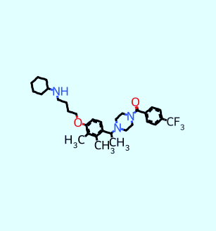 Cc1c(OCCCCNC2CCCCC2)ccc(C(C)N2CCN(C(=O)c3ccc(C(F)(F)F)cc3)CC2)c1C